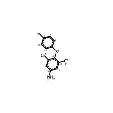 Cc1ccc(Sc2c(Cl)cc(N)cc2Cl)cc1